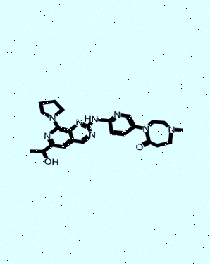 CC(O)c1cc2cnc(Nc3ccc(N4CCN(C)CCC4=O)cn3)nc2c(N2CCCC2)n1